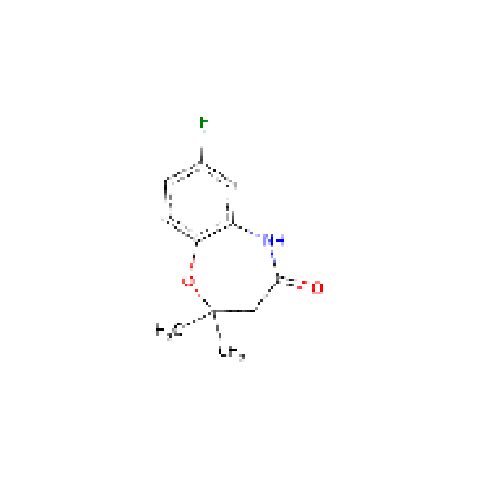 CC1(C)CC(=O)Nc2cc(F)ccc2O1